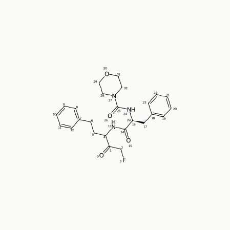 O=C(CF)C(CCc1ccccc1)NC(=O)[C@H](Cc1ccccc1)NC(=O)N1CCOCC1